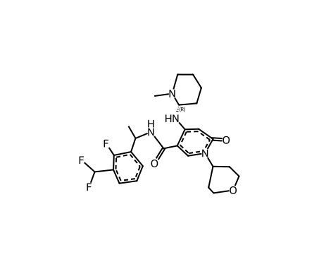 CC(NC(=O)c1cn(C2CCOCC2)c(=O)cc1N[C@H]1CCCCN1C)c1cccc(C(F)F)c1F